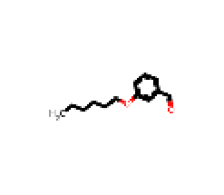 CCCCCCOc1cccc([C]=O)c1